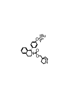 CC(C)(C)[Si](C)(C)Oc1ccc([C@H]2c3ccccc3CCN2C(=O)OCC23CCN(CC2)C3)cc1